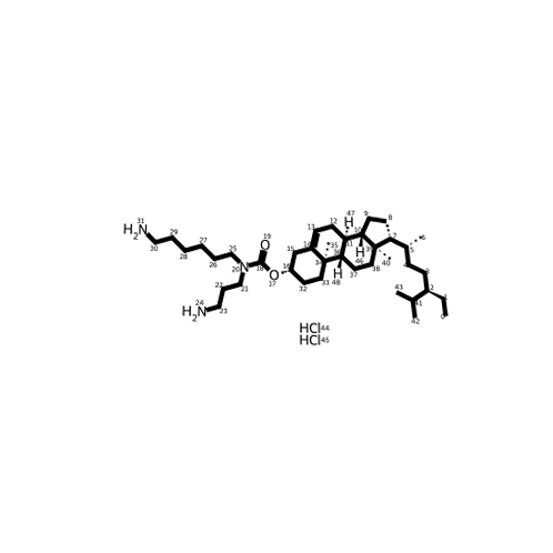 CC[C@H](CC[C@@H](C)[C@H]1CC[C@H]2[C@@H]3CC=C4C[C@@H](OC(=O)N(CCCN)CCCCCCN)CC[C@]4(C)[C@H]3CC[C@]12C)C(C)C.Cl.Cl